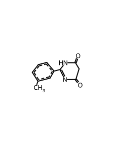 Cc1cccc(C2=NC(=O)CC(=O)N2)c1